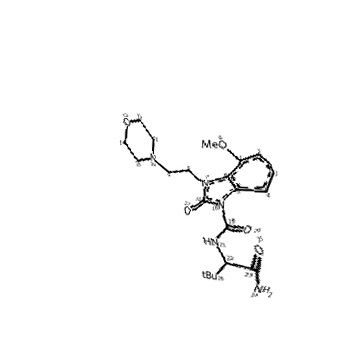 COc1cccc2c1n(CCN1CCOCC1)c(=O)n2C(=O)NC(C(N)=O)C(C)(C)C